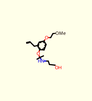 C=CCc1cc(OCCOC)ccc1OC(C)(C)NCCCO